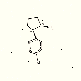 N[C@@H]1CCC[C@@H]1c1ccc(Cl)cc1